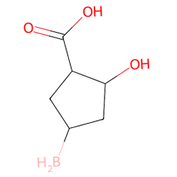 BC1CC(O)C(C(=O)O)C1